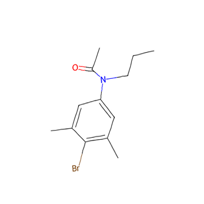 CCCN(C(C)=O)c1cc(C)c(Br)c(C)c1